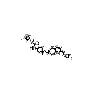 Cn1cc(OCC(=O)N[C@H]2CC[C@](F)(CCN3CCc4ccc(CCC(F)(F)F)nc4CC3)CC2)cn1